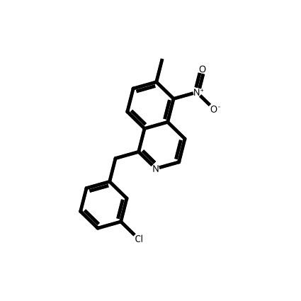 Cc1ccc2c(Cc3cccc(Cl)c3)nccc2c1[N+](=O)[O-]